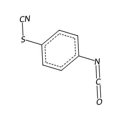 N#CSc1ccc(N=C=O)cc1